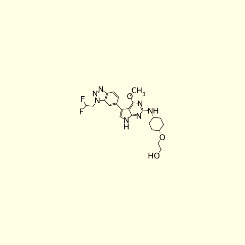 COc1nc(N[C@H]2CC[C@@H](OCCO)CC2)nc2[nH]cc(-c3ccc4nnn(CC(F)F)c4c3)c12